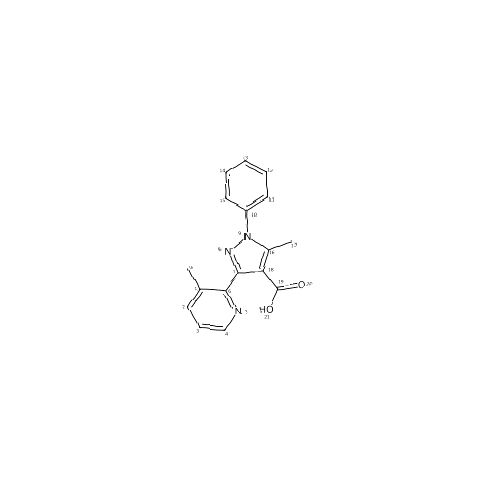 Cc1cccnc1-c1nn(-c2ccccc2)c(C)c1C(=O)O